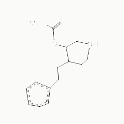 COC(=O)NC1CNCCC1CCc1ccccc1